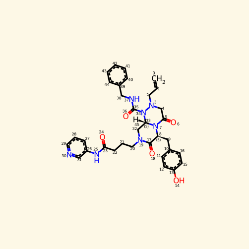 C=CCN1CC(=O)N2[C@@H](Cc3ccc(O)cc3)C(=O)N(CCCC(=O)Nc3cccnc3)C[C@@H]2N1C(=O)NCc1ccccc1